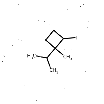 CC(C)C1(C)CCC1I